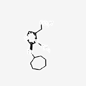 Cn1c(CC(=O)O)csc1=NC1CCCCCC1